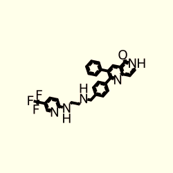 O=c1[nH]ccc2nc(-c3ccc(CNCCNc4ccc(C(F)(F)F)cn4)cc3)c(-c3ccccc3)cc12